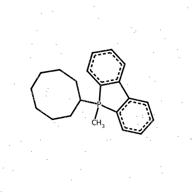 C[P]1(C2CCCCCCC2)c2ccccc2-c2ccccc21